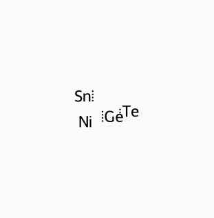 [Ge].[Ni].[Sn].[Te]